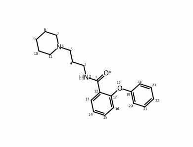 O=C(NCCCN1CCCCC1)c1ccccc1Oc1ccccc1